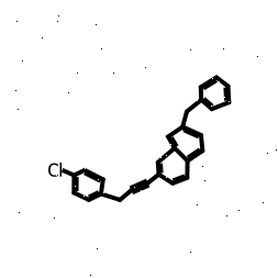 Clc1ccc(CC#Cc2ccc3ccc(Cc4ccccc4)cc3c2)cc1